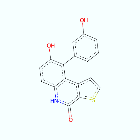 O=c1[nH]c2ccc(O)c(-c3cccc(O)c3)c2c2ccsc12